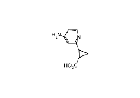 Nc1ccnc(C2CC2C(=O)O)c1